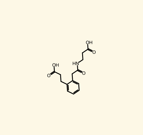 O=C(O)CCNC(=O)Cc1ccccc1CCC(=O)O